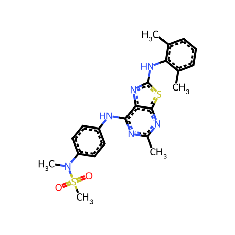 Cc1nc(Nc2ccc(N(C)S(C)(=O)=O)cc2)c2nc(Nc3c(C)cccc3C)sc2n1